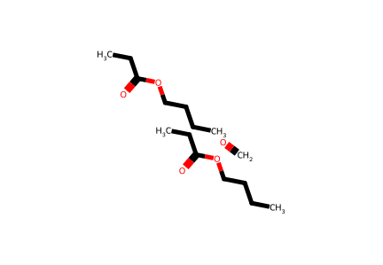 C=O.CCCCOC(=O)CC.CCCCOC(=O)CC